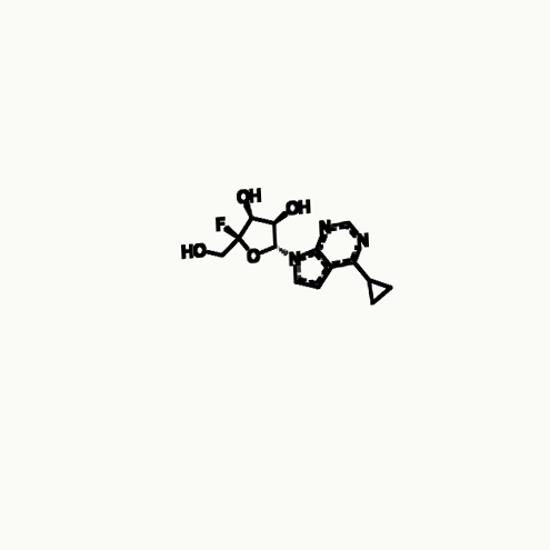 OC[C@@]1(F)O[C@@H](n2ccc3c(C4CC4)ncnc32)[C@H](O)[C@@H]1O